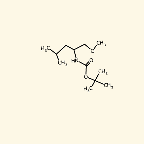 COCC(CC(C)C)NC(=O)OC(C)(C)C